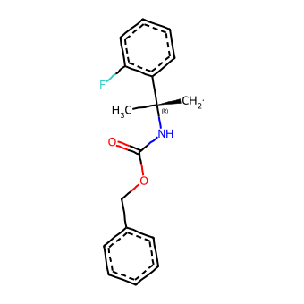 [CH2][C@](C)(NC(=O)OCc1ccccc1)c1ccccc1F